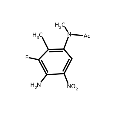 CC(=O)N(C)c1cc([N+](=O)[O-])c(N)c(F)c1C